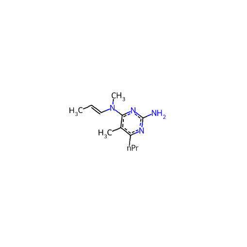 CC=CN(C)c1nc(N)nc(CCC)c1C